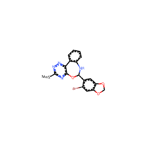 CSc1nnc2c(n1)OC(c1cc3c(cc1Br)OCO3)Nc1ccccc1-2